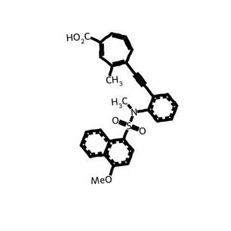 COc1ccc(S(=O)(=O)N(C)c2ccccc2C#CC2=C(C)C=C(C(=O)O)C=C=C2)c2ccccc12